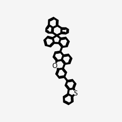 c1ccc2c(c1)-c1c(-c3ccc4c5c(cccc35)-c3cc(-c5ccc6sc7ccccc7c6c5)ccc3O4)cccc1C21c2ccccc2-c2cccc3cccc1c23